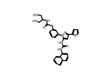 O=C(Cc1cccc(-n2nc(-c3cccs3)cc2NC(=O)Nc2cccc3ccccc23)c1)NC(CO)CO